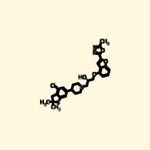 Cc1nnc(-c2cc3c(OC[C@@H](O)CN4CCC(c5cc(Cl)c6c(c5)SC(C)(C)C6)CC4)cccc3o2)o1